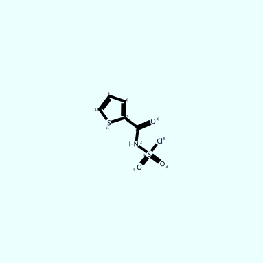 O=C(NS(=O)(=O)Cl)c1cccs1